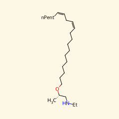 CCCCC/C=C\C/C=C\CCCCCCCCCCO[C@@H](C)CNCC